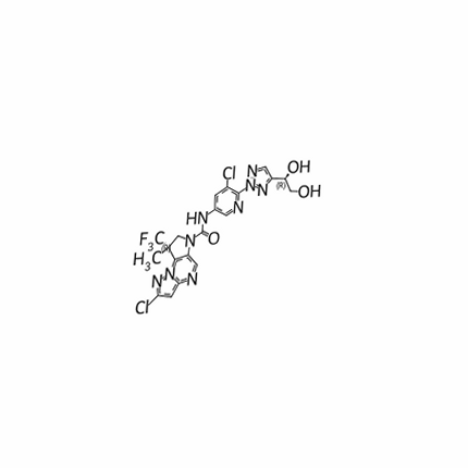 C[C@@]1(C(F)(F)F)CN(C(=O)Nc2cnc(-n3ncc([C@@H](O)CO)n3)c(Cl)c2)c2cnc3cc(Cl)nn3c21